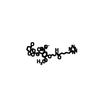 COc1cc(C(C)OC(=O)ON2C(=O)CCC2=O)c([N+](=O)[O-])cc1OCCNC(=O)CCCCc1nncnn1